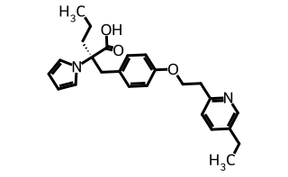 CCC[C@@](Cc1ccc(OCCc2ccc(CC)cn2)cc1)(C(=O)O)n1cccc1